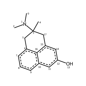 CN(C)C1(C)Cc2cccc3cc(O)cc(c23)C1